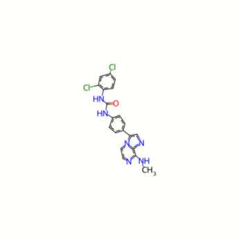 CNc1nccn2c(-c3ccc(NC(=O)Nc4ccc(Cl)cc4Cl)cc3)cnc12